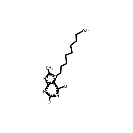 CC(=O)OCCCCCCCCn1c(C)nc2nc(Cl)nc(Cl)c21